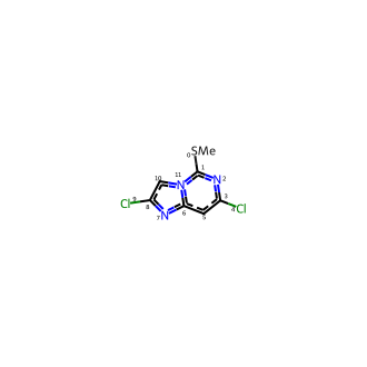 CSc1nc(Cl)cc2nc(Cl)cn12